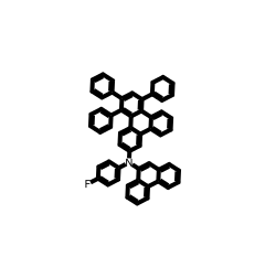 Fc1ccc(N(c2ccc3c(c2)c2ccccc2c2c(C4=CC=CCC4)cc(-c4ccccc4)c(-c4ccccc4)c32)c2cc3ccccc3c3ccccc23)cc1